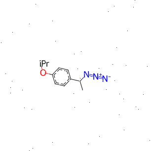 CC(C)Oc1ccc(C(C)N=[N+]=[N-])cc1